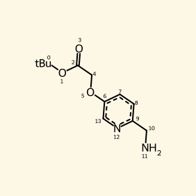 CC(C)(C)OC(=O)COc1ccc(CN)nc1